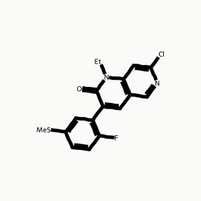 CCn1c(=O)c(-c2cc(SC)ccc2F)cc2cnc(Cl)cc21